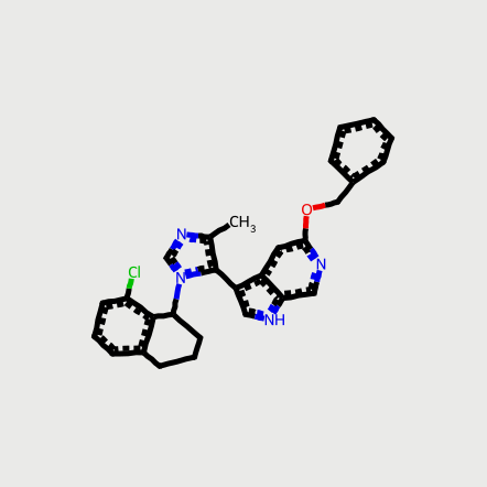 Cc1ncn(C2CCCc3cccc(Cl)c32)c1-c1c[nH]c2cnc(OCc3ccccc3)cc12